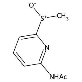 CC(=O)Nc1cccc([S+](C)[O-])n1